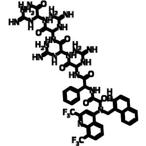 N=C(N)NC(NC(=O)C(NC(=N)N)NC(=O)C(NC(=N)N)NC(=O)C(NC(=N)N)NC(=O)C(NC(=O)C(O)N(Cc1c(O)ccc2ccccc12)c1cc(C(F)(F)F)nc2c(C(F)(F)F)cccc12)c1ccccc1)C(N)=O